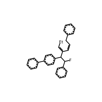 CC/C=C(\C=C/Cc1ccccc1)C(c1ccc(-c2ccccc2)cc1)C(F)c1ccccc1